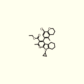 CCOC(=O)c1c(C)nc2c(c3c(n2C2CC2)CCCC3)c1-c1cc(Cl)c2c(c1C)CCCO2